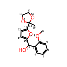 COc1ccccc1C(O)c1ccc(C2(C)OCCO2)o1